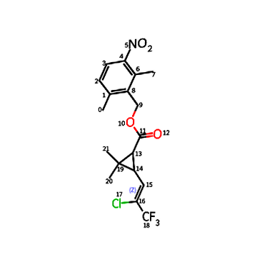 Cc1ccc([N+](=O)[O-])c(C)c1COC(=O)C1C(/C=C(\Cl)C(F)(F)F)C1(C)C